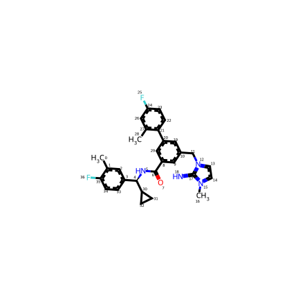 Cc1cc([C@@H](NC(=O)c2cc(Cn3ccn(C)c3=N)cc(-c3ccc(F)cc3C)c2)C2CC2)ccc1F